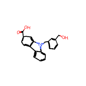 O=C(O)c1ccc2c3ccccc3n(Cc3cccc(CO)c3)c2c1